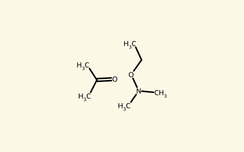 CC(C)=O.CCON(C)C